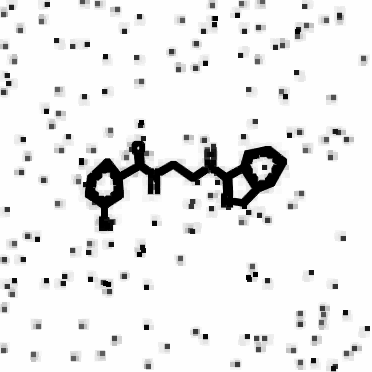 O=C(NCCNC1=NCc2ccccc21)c1cccc(Br)c1